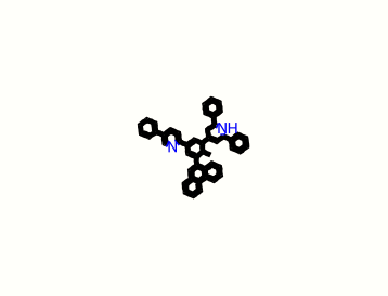 CC1C(c2cc3ccccc3c3ccccc23)=CC(c2ccc(C3=CCCC=C3)cn2)=CC1C1=CC(c2ccccc2)NC(c2ccccc2)C1